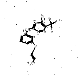 CCCSc1cccc(Nc2ncc(C(F)(F)F)c(Cl)n2)c1